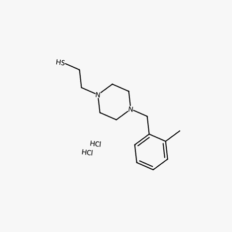 Cc1ccccc1CN1CCN(CCS)CC1.Cl.Cl